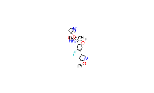 CC(C)Oc1ccc(-c2cc3c(cc2F)C(NC(=O)OC2CN4CCC2CC4)C(C)(C)CO3)cn1